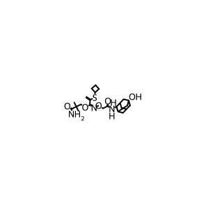 C=C(SC1CCC1)/C(=N\OCC(=O)N[C@H]1C2CC3CC1C[C@](O)(C3)C2)OCC(C)(C)C(N)=O